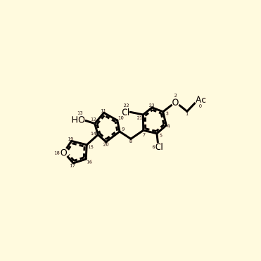 CC(=O)COc1cc(Cl)c(Cc2ccc(O)c(-c3ccoc3)c2)c(Cl)c1